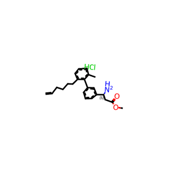 C=CCCCCc1cccc(C)c1-c1cccc([C@@H](N)CC(=O)OC)c1.Cl